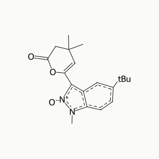 Cn1c2ccc(C(C)(C)C)cc2c(C2=CC(C)(C)CC(=O)O2)[n+]1[O-]